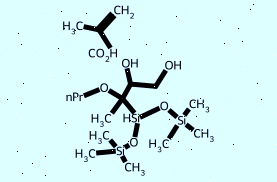 C=C(C)C(=O)O.CCCOC(C)(C(O)CO)[SiH](O[Si](C)(C)C)O[Si](C)(C)C